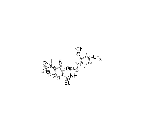 CCOc1cc(C(F)(F)F)ccc1C=CC(=O)NC(CC)c1cc(F)c(NS(C)(=O)=O)c(F)c1